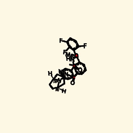 COc1cccc(C(=O)N[C@H]2C[C@H]3CC[C@@H](C2)N3c2ccc(C(=O)NCc3c(F)ccc(F)c3F)cn2)c1C